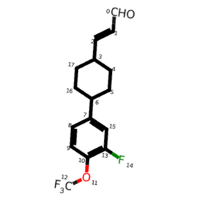 O=C/C=C/C1CCC(c2ccc(OC(F)(F)F)c(F)c2)CC1